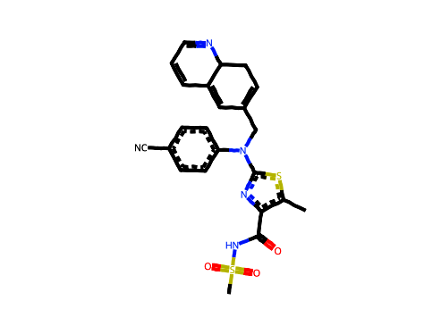 Cc1sc(N(CC2=CCC3N=CC=CC3=C2)c2ccc(C#N)cc2)nc1C(=O)NS(C)(=O)=O